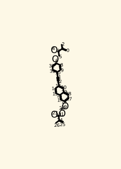 C=C(C)C(=O)COc1ccc(C#Cc2ccc3cc(OCOC(=O)C(=C)C)ccc3c2)cc1